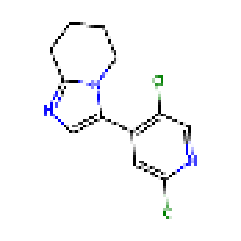 Clc1cc(-c2cnc3n2CCCC3)c(Cl)cn1